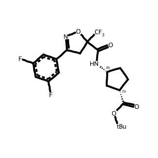 CC(C)(C)OC(=O)[C@H]1CC[C@@H](NC(=O)C2(C(F)(F)F)CC(c3cc(F)cc(F)c3)=NO2)C1